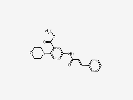 COC(=O)c1cc(NC(=O)C=Cc2ccccc2)ccc1N1CCOCC1